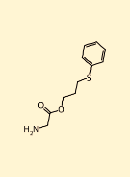 NCC(=O)OCCCSc1ccccc1